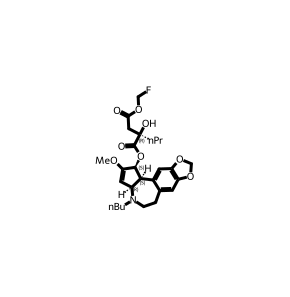 CCCCN1CCc2cc3c(cc2[C@@H]2[C@H](OC(=O)[C@@](O)(CCC)CC(=O)OCF)C(OC)=C[C@@H]21)OCO3